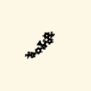 O=C(c1cnn(C2CCN(c3nnc(C(F)(F)F)[nH]3)CC2)c1C1CC1)N1CCCC1c1ccccc1C(F)(F)F